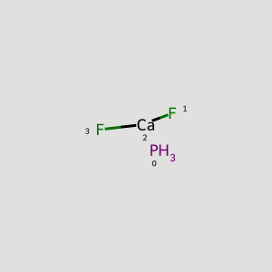 P.[F][Ca][F]